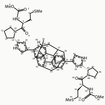 COC(=O)N[C@@H](CCSC)C(=O)N1CCC[C@H]1c1nc(-c2ccc(C3=CC4=CCC3C[C@@H](C)c3ccc(c(-c5ccc(-c6c[nH]c([C@@H]7CCCN7C(=O)[C@H](CCSC)NC(=O)OC)n6)cc5)c3)CC4)cc2)c[nH]1